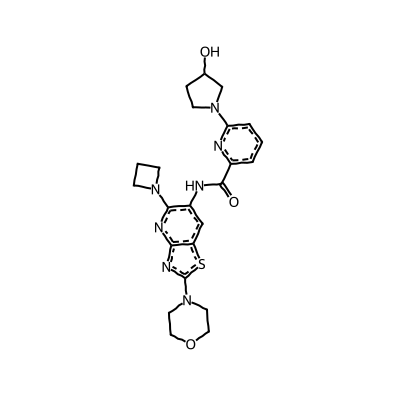 O=C(Nc1cc2sc(N3CCOCC3)nc2nc1N1CCC1)c1cccc(N2CCC(O)C2)n1